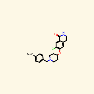 COc1ccc(CN2CCC(Oc3cc4cc[nH]c(=O)c4cc3Cl)CC2)cc1